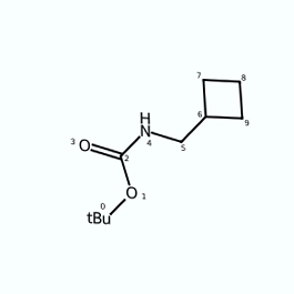 CC(C)(C)OC(=O)NCC1CCC1